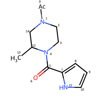 CC(=O)N1CCN(C(=O)c2ccc[nH]2)C(C)C1